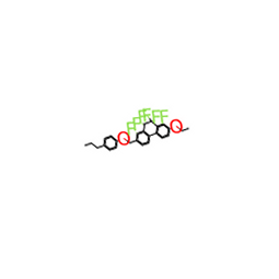 CCCc1ccc(OCc2ccc3c(c2F)C(F)(F)C(F)(F)c2c-3ccc(OCC)c2F)cc1